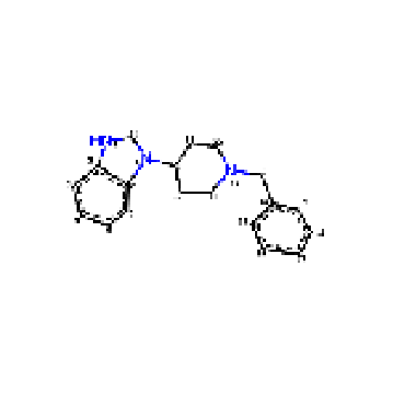 [CH]1Nc2ccccc2N1C1CCN(Cc2ccccc2)CC1